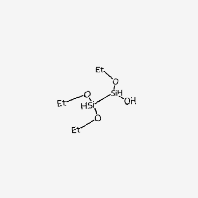 CCO[SiH](O)[SiH](OCC)OCC